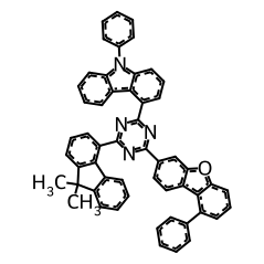 CC1(C)c2ccccc2-c2c(-c3nc(-c4ccc5c(c4)oc4cccc(-c6ccccc6)c45)nc(-c4cccc5c4c4ccccc4n5-c4ccccc4)n3)cccc21